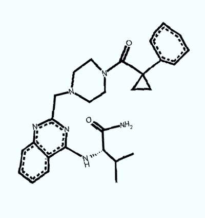 CC(C)[C@H](Nc1nc(CN2CCN(C(=O)C3(c4ccccc4)CC3)CC2)nc2ccccc12)C(N)=O